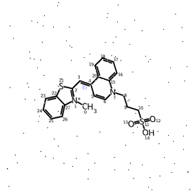 C[n+]1c(/C=C2\C=CN(CCCS(=O)(=O)O)c3ccccc32)sc2ccccc21